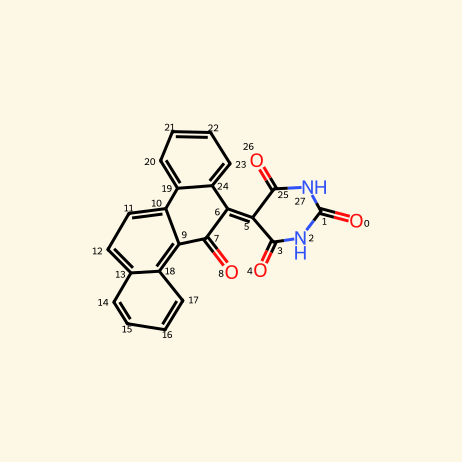 O=C1NC(=O)C(=C2C(=O)c3c(ccc4ccccc34)-c3ccccc32)C(=O)N1